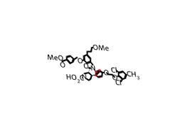 COCCCc1cc(CN(C(=O)[C@H]2CN(C(=O)O)CC[C@@H]2c2ccc(OCCOc3c(Cl)cc(C)cc3Cl)cc2)C2CC2)cc(OCc2ccc(C(=O)OC)cc2)c1